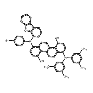 CCC(C)c1ccc(N(c2cc(C)cc(C)c2)c2cc(C)cc(C)c2)c2ccc3c(ccc4c(N(c5ccc(C(C)C)cc5)c5cccc6c5oc5ccccc56)ccc(C(C)CC)c43)c12